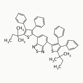 CCC(C)(C)c1sc(-c2ccc(-c3sc(C(C)(C)CC)c(-c4ccccc4)c3-c3ccccc3)c3nsnc23)c(-c2ccccc2)c1-c1ccccc1